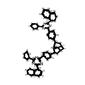 c1ccc(-c2nc(-c3ccc(C4CC5CC6CC(c7ccc(-c8nc(-c9ccccc9)nc(-c9cccc%10ccccc9%10)n8)cc7)CC56C4)cc3)nc(-c3cccc4ccccc34)n2)cc1